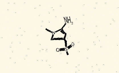 Cn1cc(S(C)(=O)=O)cc1N